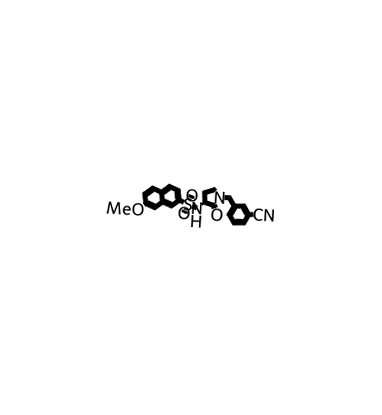 COc1ccc2ccc(S(=O)(=O)N[C@H]3CCN(Cc4cccc(C#N)c4)C3=O)cc2c1